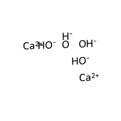 [Ca+2].[Ca+2].[OH-].[OH-].[OH-].[OH-]